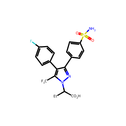 CCC(C(=O)O)n1nc(-c2ccc(S(N)(=O)=O)cc2)c(-c2ccc(F)cc2)c1C(F)(F)F